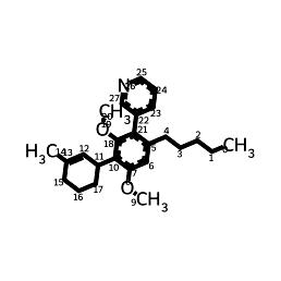 CCCCCc1cc(OC)c(C2C=C(C)CCC2)c(OC)c1-c1cccnc1